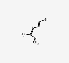 C=N/C(C)=N\C=C\Br